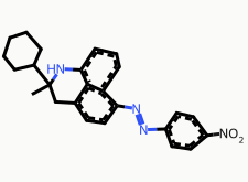 CC1(C2CCCCC2)Cc2ccc(N=Nc3ccc([N+](=O)[O-])cc3)c3cccc(c23)N1